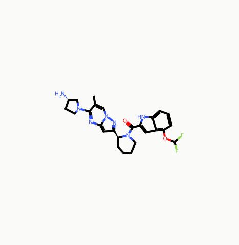 Cc1cn2nc([C@@H]3CCCCN3C(=O)c3cc4c(OC(F)F)cccc4[nH]3)cc2nc1N1CC[C@H](N)C1